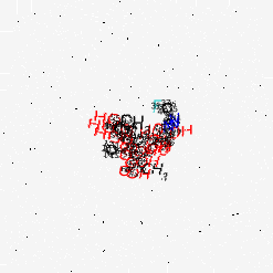 CCC[C@H](OC1C(OC(=O)c2ccccc2)[C@H](O[C@@H]2CC(CO[C@H]3OC(CO)[C@@H](O)C(n4cc(-c5cccc(F)c5)nn4)C3O)CC(C)C2O[C@@H]2OC(C)[C@H](O)C(O)C2O)OC(CO)[C@@H]1O)C(=O)O